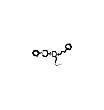 OCCC1CN(C2CCN(c3ccccc3)CC2)CCN1CCCC1=CC=CCC1